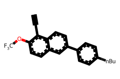 C#Cc1c(OC(F)(F)F)ccc2cc(-c3ccc(CCCC)cc3)ccc12